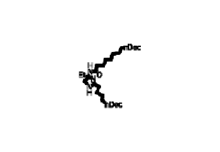 CCCCCCCCCCCCCCCCCC(=O)NC1(CC)CNC(CCCCCCCCCCCCCC)=N1